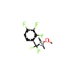 CO[Si](C)(C)C(F)(F)c1ccc(F)c(F)c1F